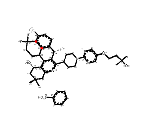 CC(C)(O)CCOc1cnc(N2CCC(c3nc4c(c(C5CCC(F)(F)CC5)c3[C@@H](F)c3ccc(C(F)(F)F)cc3)[C@@H](O)CC(C)(C)C4)CC2)nc1.O=S(=O)(O)c1ccccc1